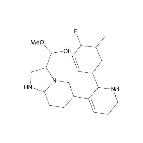 COC(O)C1CNC2CCC(C3=CCCNC3C3C=CC(F)C(C)C3)CN21